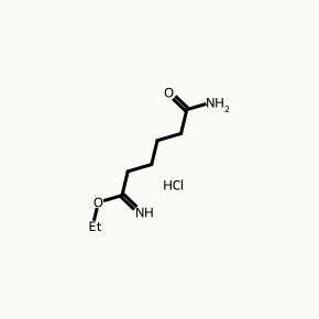 CCOC(=N)CCCCC(N)=O.Cl